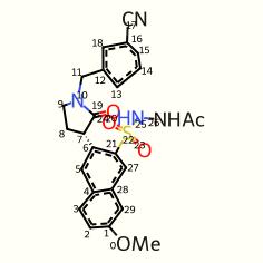 COc1ccc2cc([C@@H]3CCN(Cc4cccc(C#N)c4)C3=O)c(S(=O)(=O)NNC(C)=O)cc2c1